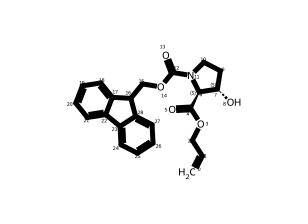 C=CCOC(=O)[C@@H]1[C@@H](O)CCN1C(=O)OCC1c2ccccc2-c2ccccc21